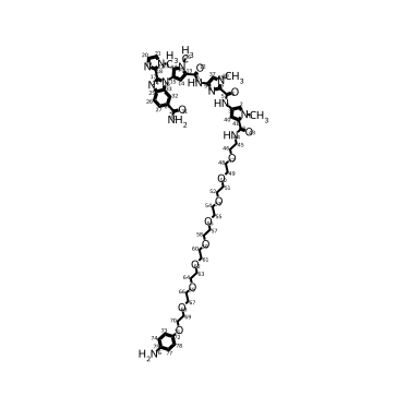 Cn1cc(NC(=O)c2nc(NC(=O)c3cc(-n4c(-c5nccn5C)nc5ccc(C(N)=O)cc54)cn3C)cn2C)cc1C(=O)NCCOCCOCCOCCOCCOCCOCCOCCOCCOc1ccc(N)cc1